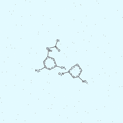 CCC(=O)CC.Cc1cc(C)cc(C(C)(C)C)c1.O=[N+]([O-])c1cccc([N+](=O)[O-])c1